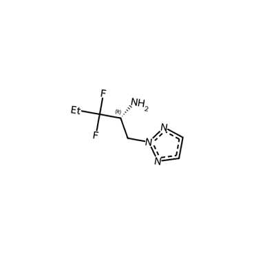 CCC(F)(F)[C@H](N)Cn1nccn1